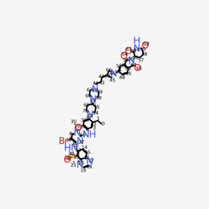 CCc1cc(Nc2ncc(Br)c(Nc3ccc4nccnc4c3P(C)(C)=O)n2)c(OC)cc1N1CCC(N2CCN(CCCC3CN(c4ccc5c(c4)C(=O)N(C4CCC(=O)NC4=O)C5=O)C3)CC2)CC1